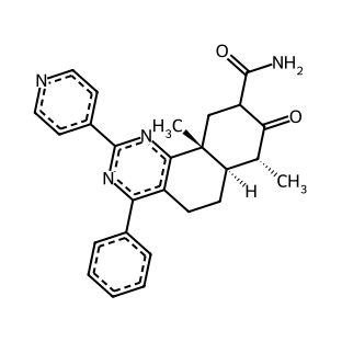 C[C@H]1C(=O)C(C(N)=O)C[C@@]2(C)c3nc(-c4ccncc4)nc(-c4ccccc4)c3CC[C@H]12